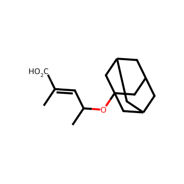 CC(=CC(C)OC12CC3CC(CC(C3)C1)C2)C(=O)O